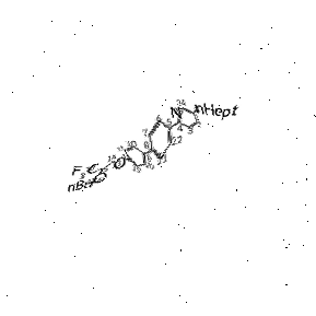 CCCCCCCc1ccc(-c2ccc(-c3ccc(OCC(OCCCC)C(F)(F)F)cc3)cc2)nc1